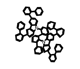 c1ccc(-c2ccccc2-c2ccc3c(c2)c2cc(-c4ccccc4-c4ccccc4)ccc2n3-c2ccccc2-c2cccc(-c3ccccc3)c2-n2c3ccc(-c4ccccc4-c4ccccc4)cc3c3cc(-c4ccccc4-c4ccccc4)ccc32)cc1